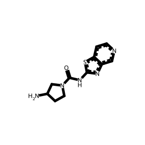 NC1CCN(C(=O)Nc2nc3cnccc3s2)C1